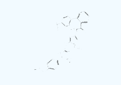 COc1ccc(C(NC(=O)Oc2cc(NC(=O)c3ccccc3-c3ccc(C(F)(F)F)cc3)cn2C)C2CC2)cc1